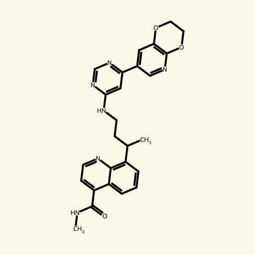 CNC(=O)c1ccnc2c(C(C)CCNc3cc(-c4cnc5c(c4)OCCO5)ncn3)cccc12